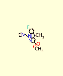 COC(=O)c1cnc(NCCN2CCCC2)c(C(C)c2ccc(F)cc2)c1